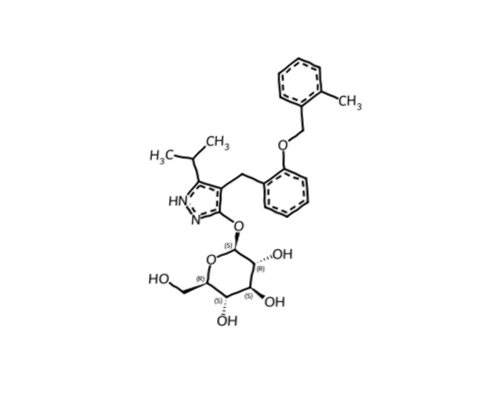 Cc1ccccc1COc1ccccc1Cc1c(O[C@@H]2O[C@H](CO)[C@@H](O)[C@H](O)[C@H]2O)n[nH]c1C(C)C